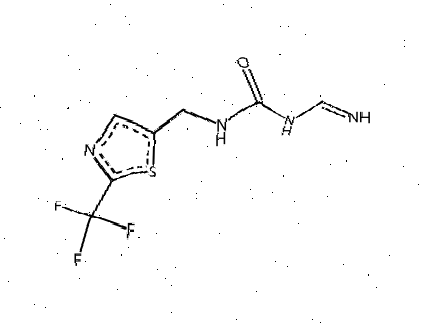 N=CNC(=O)NCc1cnc(C(F)(F)F)s1